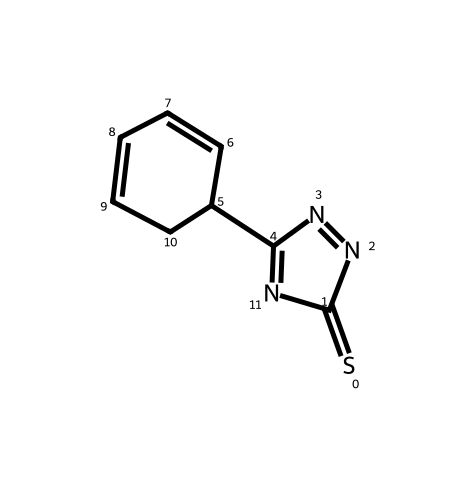 S=C1N=NC(C2C=CC=CC2)=N1